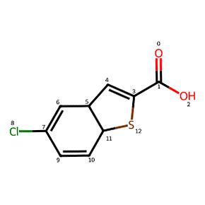 O=C(O)C1=CC2C=C(Cl)C=CC2S1